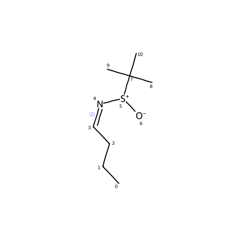 CCC/C=N\[S+]([O-])C(C)(C)C